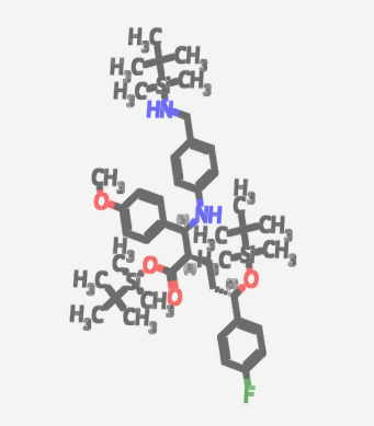 COc1ccc([C@@H](Nc2ccc(CN[Si](C)(C)C(C)(C)C)cc2)[C@@H](CC[C@H](O[Si](C)(C)C(C)(C)C)c2ccc(F)cc2)C(=O)O[Si](C)(C)C(C)(C)C)cc1